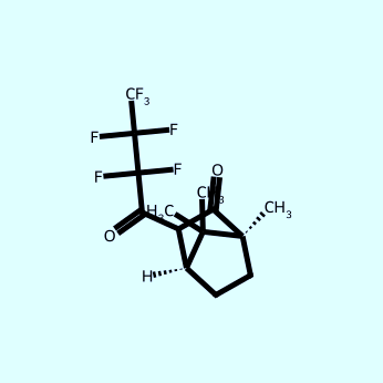 CC1(C)[C@H]2CC[C@]1(C)C(=O)C2C(=O)C(F)(F)C(F)(F)C(F)(F)F